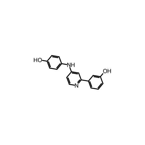 Oc1ccc(Nc2ccnc(-c3cccc(O)c3)c2)cc1